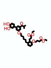 CCOC(=O)CCCOc1cccc(CCCCCCOc2cc(C(=O)C(C)C)cc(-c3ccc(O)c(O)c3)c2)c1CCC(=O)OCC